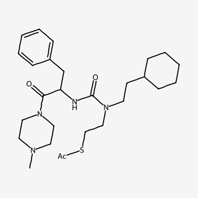 CC(=O)SCCN(CCC1CCCCC1)C(=O)NC(Cc1ccccc1)C(=O)N1CCN(C)CC1